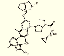 N#Cc1c(N)sc2c(F)ccc(-c3c(Cl)cc4c(N5CCC6C5CCN6C(=O)[C@@H]5N[C@H]5C5CC5)nc(OC[C@@]56CCCN5C[C@H](F)C6)nc4c3F)c12